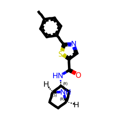 Cc1ccc(-c2ncc(C(=O)N[C@@H]3C[C@H]4CC[C@@H]3N4)s2)cc1